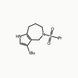 CC(C)S(=O)(=O)N1CCCc2[nH]cc(C(C)(C)C)c2C1